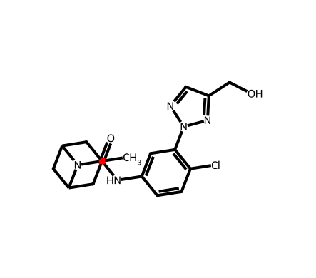 CC1CC2CC(C1)N2C(=O)Nc1ccc(Cl)c(-n2ncc(CO)n2)c1